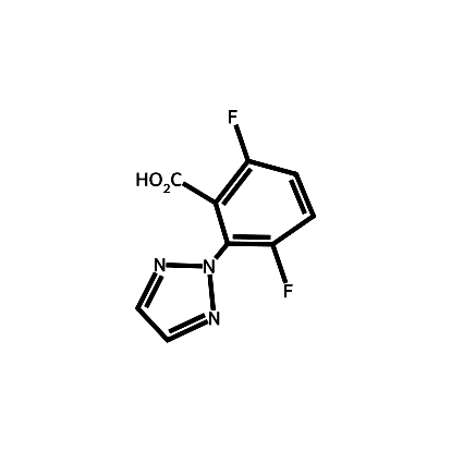 O=C(O)c1c(F)ccc(F)c1-n1nccn1